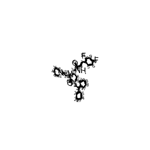 O=C(C=Cc1ccc(F)cc1F)NC[C@@H]1CCN(CC(c2ccccc2)c2ccccc2)C(=O)[C@H](CCN2CCCCC2)N1